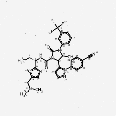 CC[C@H](NC(=O)N1C(=O)N(c2cccc(C(F)(F)F)c2)C(C)C1c1ccnn1-c1ccc(C#N)cc1)c1ncc(CN(C)C)o1